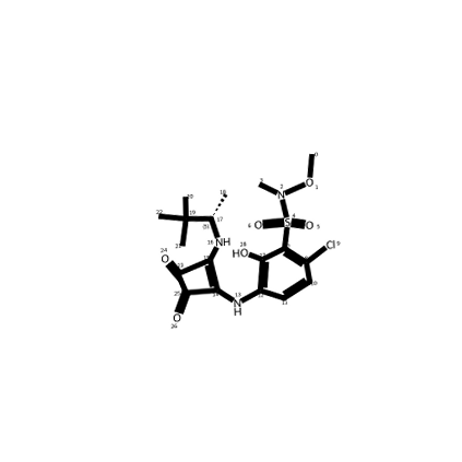 CON(C)S(=O)(=O)c1c(Cl)ccc(Nc2c(N[C@@H](C)C(C)(C)C)c(=O)c2=O)c1O